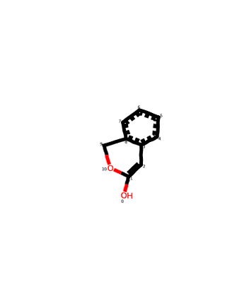 OC1=Cc2ccccc2CO1